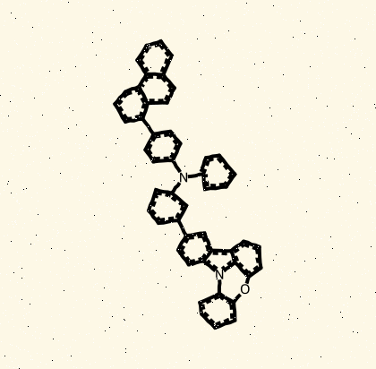 c1ccc(N(c2ccc(-c3cccc4c3ccc3ccccc34)cc2)c2cccc(-c3ccc4c(c3)c3cccc5c3n4-c3ccccc3O5)c2)cc1